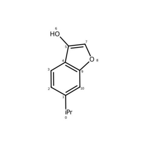 CC(C)c1ccc2c(O)coc2c1